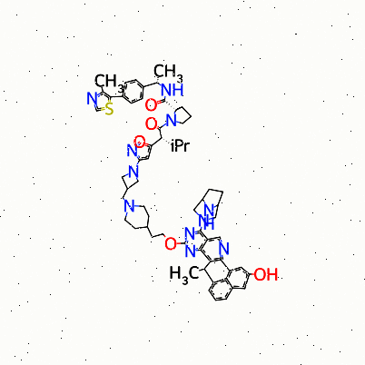 Cc1ncsc1-c1ccc([C@H](C)NC(=O)[C@@H]2CCCN2C(=O)[C@@H](c2cc(N3CC(CN4CCC(CCOc5nc(N6CC7CCC(C6)N7)c6cnc7c(c6n5)C(C)c5cccc6cc(O)cc-7c56)CC4)C3)no2)C(C)C)cc1